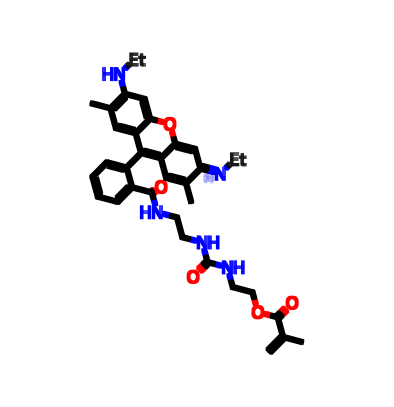 C=C(C)C(=O)OCCNC(=O)NCCNC(=O)c1ccccc1-c1c2cc(C)/c(=N/CC)cc-2oc2cc(NCC)c(C)cc12